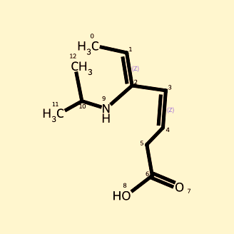 C/C=C(/C=C\CC(=O)O)NC(C)C